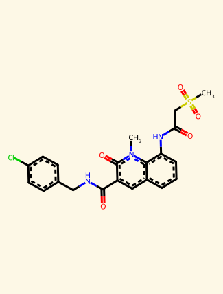 Cn1c(=O)c(C(=O)NCc2ccc(Cl)cc2)cc2cccc(NC(=O)CS(C)(=O)=O)c21